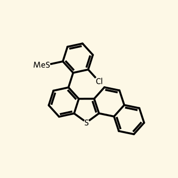 CSc1cccc(Cl)c1-c1cccc2sc3c4ccccc4ccc3c12